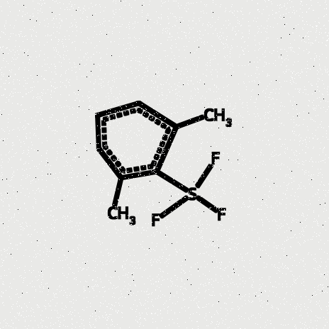 Cc1cccc(C)c1S(F)(F)F